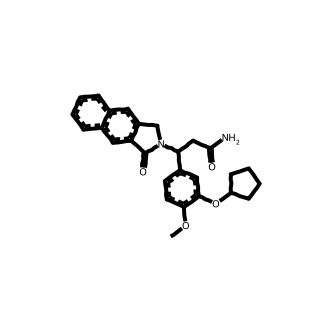 COc1ccc(C(CC(N)=O)N2Cc3cc4ccccc4cc3C2=O)cc1OC1CCCC1